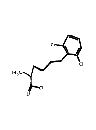 CC(CCCCc1c(Cl)cccc1Cl)C(=O)Cl